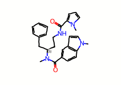 CN(C(=O)c1ccc2c(ccn2C)c1)[C@H](CCNC(=O)c1cccn1C)Cc1ccccc1